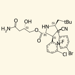 CC(C)(C)C[C@@H]1N[C@@H](C(=O)OC[C@@H](O)CC(N)=O)[C@H](c2cccc(Cl)c2F)[C@@]1(C#N)c1ccc(Br)cn1